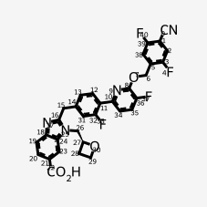 N#Cc1cc(F)c(COc2nc(-c3ccc(Cc4nc5ccc(C(=O)O)cc5n4C[C@@H]4CCO4)cc3F)ccc2F)cc1F